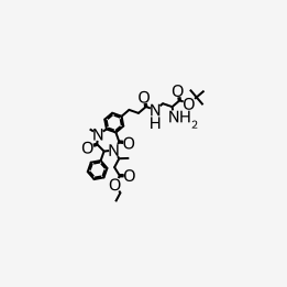 CCOC(=O)CC(C)N1C(=O)c2cc(CCC(=O)NCC(N)C(=O)OC(C)(C)C)ccc2N(C)C(=O)C1c1ccccc1